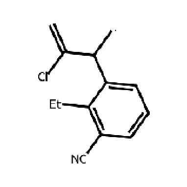 [CH2]C(C(=C)Cl)c1cccc(C#N)c1CC